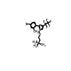 Cc1cc(Br)ccc1-c1nc(C(F)(F)C(F)(F)F)cn1COCC[Si](C)(C)C